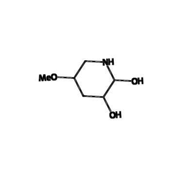 COC1CNC(O)C(O)C1